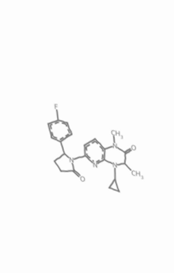 CC1C(=O)N(C)c2ccc(N3C(=O)CCC3c3ccc(F)cc3)nc2N1C1CC1